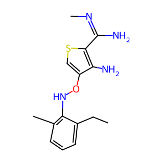 CCc1cccc(C)c1NOc1csc(/C(N)=N\C)c1N